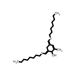 CCCCCCCCSC=C1C=C(C)C(O)C(=CSCCCCCCCC)C1